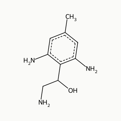 Cc1cc(N)c(C(O)CN)c(N)c1